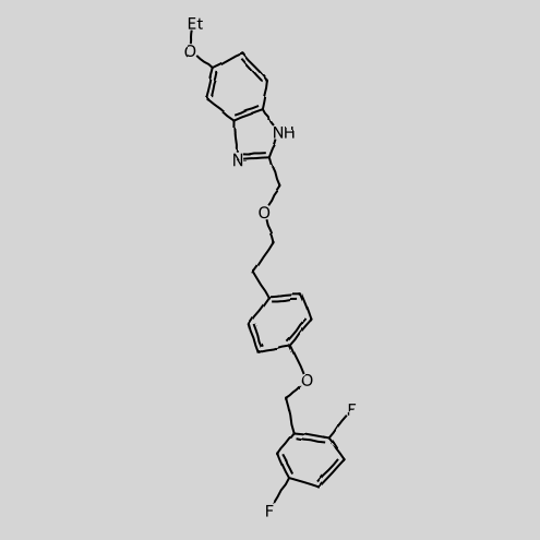 CCOc1ccc2[nH]c(COCCc3ccc(OCc4cc(F)ccc4F)cc3)nc2c1